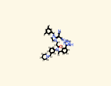 Cc1cc(C)cc(CN2CCN(CCC(=O)N(c3cccc(CN4CCCCC4)c3)C(C)c3cccc(-c4nnn[nH]4)c3)C2=C(C#N)C#N)c1